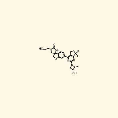 C[C@H]1[C@H](O)CN1c1nc(-c2ccc3c(c2)OCC32CN(CCO)C(=O)N2)c2c(n1)C(F)(F)CC2